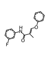 C/C(=C\Oc1ccccc1)C(=O)Nc1cccc(F)c1